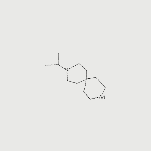 CC(C)N1CCC2(CCNCC2)CC1